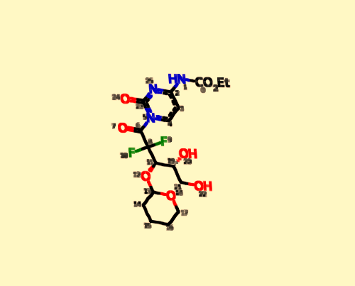 CCOC(=O)Nc1ccn(C(=O)C(F)(F)[C@H](OC2CCCCO2)[C@H](O)CO)c(=O)n1